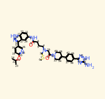 CSCN(CCCC(=O)Nc1ccc2[nH]nc(-c3ccc(OC(C)C)nc3)c2c1)CC(=O)N1CC=C(c2ccc(-c3n[nH]c(N)n3)cc2)CC1